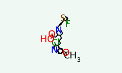 COc1ccc2ncc(Cl)c(CCCC3CCN(CC#Cc4sccc4F)CC3CC(=O)O)c2c1